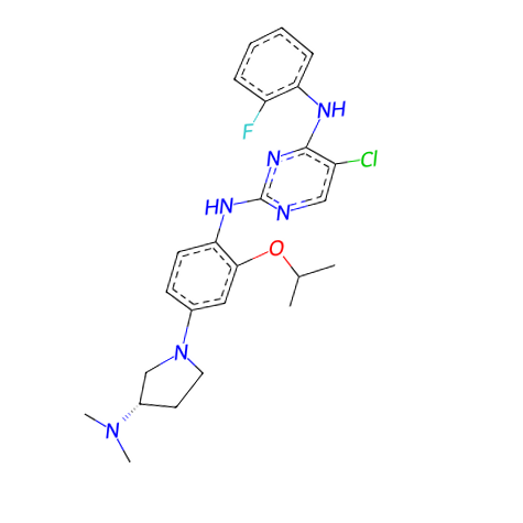 CC(C)Oc1cc(N2CC[C@H](N(C)C)C2)ccc1Nc1ncc(Cl)c(Nc2ccccc2F)n1